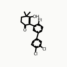 CCc1ccc(-c2ccc(Cl)c(Cl)c2)cc1C1=C(O)C(C)(C)CCC1=O